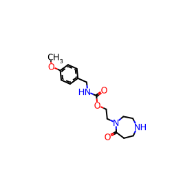 COc1ccc(CNC(=O)OCCN2CCNCCC2=O)cc1